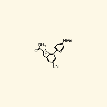 CNc1ccc(-c2cc(C#N)cc3cc(C(N)=O)[nH]c23)cc1